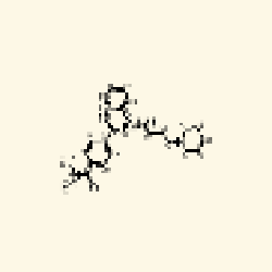 CCN(CC)C(=O)c1ccc(-c2cc(NCCCN3CCCCC3)c3cccnc3n2)cc1